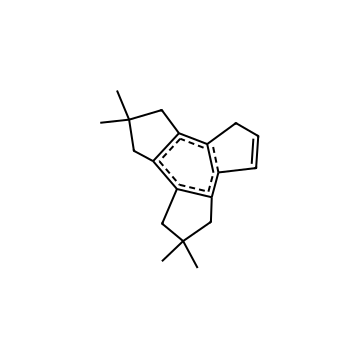 CC1(C)Cc2c3c(c4c(c2C1)CC(C)(C)C4)CC=C3